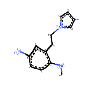 CNc1ccc(N)cc1CCn1cccc1